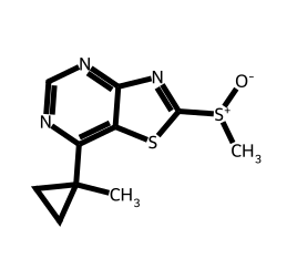 C[S+]([O-])c1nc2ncnc(C3(C)CC3)c2s1